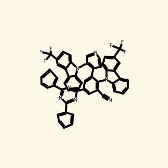 N#Cc1cc(-c2nc(-c3ccccc3)nc(-c3ccccc3)n2)cc(-c2ccncc2-n2c3ccccc3c3cc(C(F)(F)F)ccc32)c1-n1c2ccccc2c2cc(C(F)(F)F)ccc21